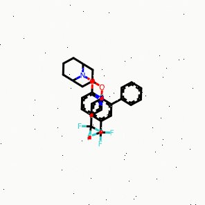 FC(F)(F)c1ccc(ON2C3CCCC2CC(Oc2ccc(C(F)(F)F)cc2-c2ccccc2)C3)nc1